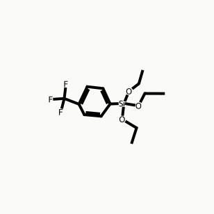 CCO[Si](OCC)(OCC)c1ccc(C(F)(F)F)cc1